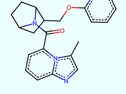 Cc1cnc2cccc(C(=O)N3C4CCC3C(COc3ccccn3)C4)n12